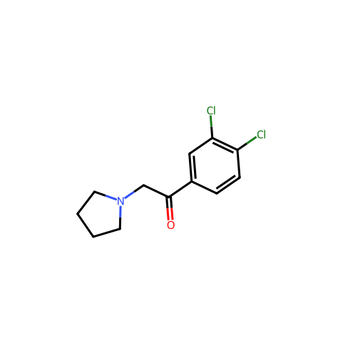 O=C(CN1CCCC1)c1ccc(Cl)c(Cl)c1